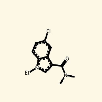 CCn1cc(C(=O)N(C)C)c2cc(Cl)ccc21